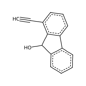 C#Cc1cccc2c1C(O)c1ccccc1-2